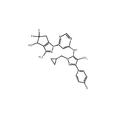 Cc1nn(-c2cc(Nc3c(C)c(-c4ccc(F)cc4)nn3CC3CC3)ncn2)c2c1C(O)C(F)(F)C2